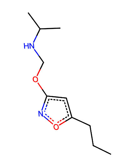 CCCc1cc(OCNC(C)C)no1